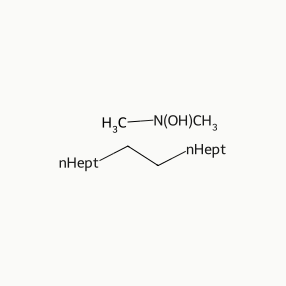 CCCCCCCCCCCCCCCC.CN(C)O